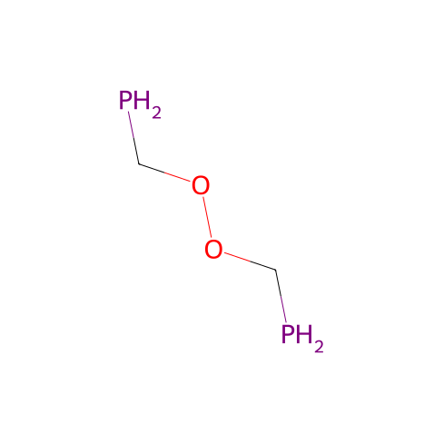 PCOOCP